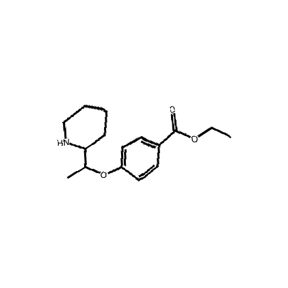 CCOC(=O)c1ccc(OC(C)C2CCCCN2)cc1